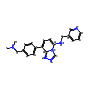 CN(C)Cc1ccc(-c2ccc(NCc3cccnc3)n3cnnc23)cc1